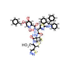 O=C(O)C1=C(c2cnns2)CS[C@H]2N1C(=O)[C@]2(C=S)NC(=O)C(NC(=O)c1cc(=O)c(OCc2ccccc2)cn1O)c1csc(NC(c2ccccc2)(c2ccccc2)c2ccccc2)n1